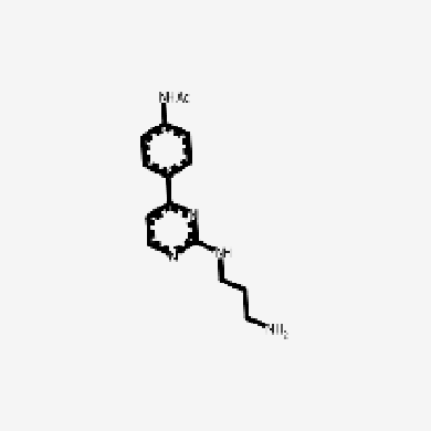 CC(=O)Nc1ccc(-c2ccnc(NCCCN)n2)cc1